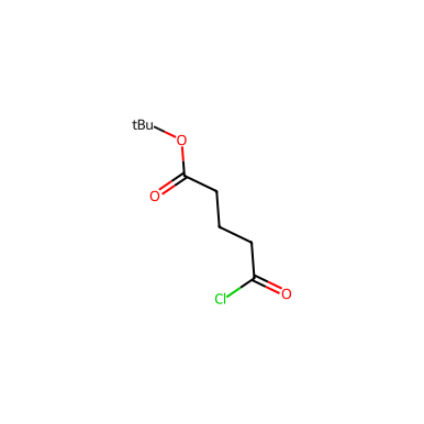 CC(C)(C)OC(=O)CCCC(=O)Cl